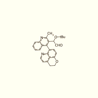 Cc1nc2ccccc2c(-c2ccc3c4c(ccnc24)CCO3)c1C(C=O)OC(C)(C)C